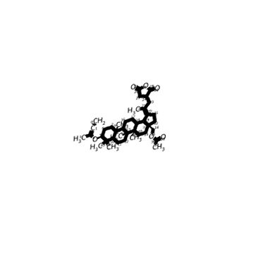 C=C=C(C)O[C@H]1CC[C@@]2(C)C(CC[C@]3(C)C2CCC2C4/C(=C(\C)CC5CC(=O)OC5=O)CC[C@]4(COC(C)=O)CC[C@]23C)C1(C)C